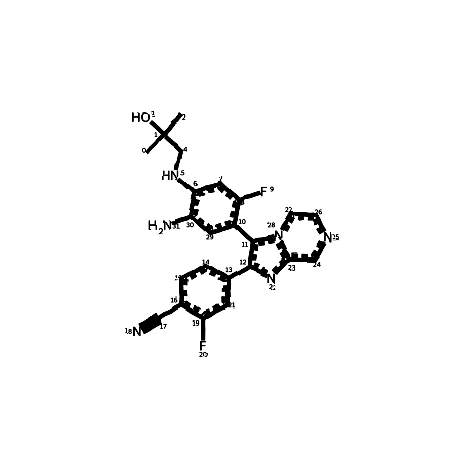 CC(C)(O)CNc1cc(F)c(-c2c(-c3ccc(C#N)c(F)c3)nc3cnccn23)cc1N